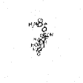 C[C@]12C=CC(=O)C=C1CC[C@@H]1[C@@H]2[C@@H](O)C[C@@]2(C)[C@H]1C[C@H]1O[C@@H](c3ccc(C4(c5ccc(N)c6c5CCO6)CC4)cc3)O[C@]12C(=O)CO